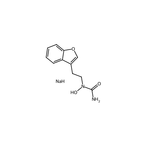 NC(=O)N(O)CCc1coc2ccccc12.[NaH]